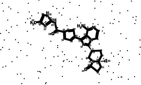 Nc1nccn2c([C@@H]3CC[C@H]4CCC(=O)N4C3)nc(-c3ccc(C(=O)Nc4nc(C(F)(F)F)c[nH]4)cc3)c12